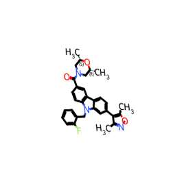 Cc1noc(C)c1-c1ccc2c3cc(C(=O)N4C[C@@H](C)O[C@@H](C)C4)ccc3n(Cc3ccccc3F)c2c1